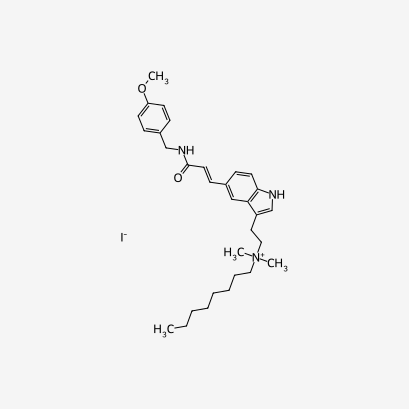 CCCCCCCC[N+](C)(C)CCc1c[nH]c2ccc(/C=C/C(=O)NCc3ccc(OC)cc3)cc12.[I-]